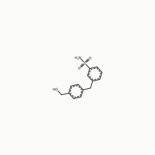 NS(=O)(=O)c1cccc(Cc2ccc(CO)cc2)c1